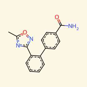 Cc1nc(-c2ccccc2-c2ccc(C(N)=O)cc2)no1